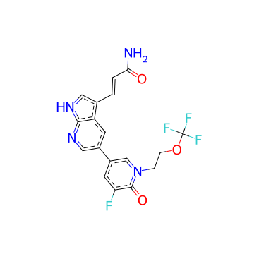 NC(=O)/C=C/c1c[nH]c2ncc(-c3cc(F)c(=O)n(CCOC(F)(F)F)c3)cc12